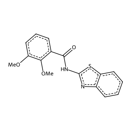 COc1cccc(C(=O)Nc2nc3ccccc3s2)c1OC